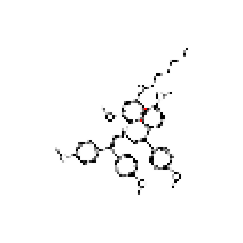 CCCCCCOc1ccc(N(C=C(c2ccc(OC)cc2)c2ccc(OC)cc2)C=C(c2ccc(OC)cc2)c2ccc(OC)cc2)c(OC)c1